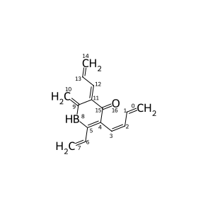 C=C/C=C\C1=C(C=C)BC(=C)/C(=C\C=C)C1=O